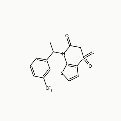 CC(c1cccc(C(F)(F)F)c1)N1C(=O)CS(=O)(=O)c2ccsc21